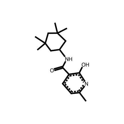 Cc1ccc(C(=O)NC2CC(C)(C)CC(C)(C)C2)c(O)n1